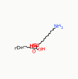 CCCCCCCCCCCCCCC(O)C(=O)C(CO)C(O)CCCCCCCCCCCCCCCN